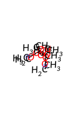 C=C/C=C(\C)OCCCCOc1cc2oc3cc(OCCCCOC(=C)/C=C\C)c(CC=C(C)C)c(O)c3c(=O)c2c(CC=C(C)C)c1OC